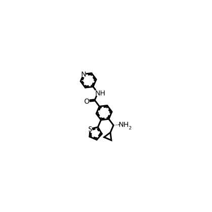 N[C@@H](c1ccc(C(=O)Nc2ccncc2)cc1-c1cccs1)C1CC1